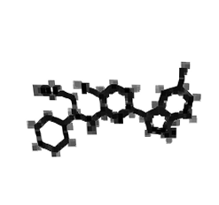 O=C(O)CN(Nc1nc(-c2c[nH]c3ncc(F)cc23)ncc1F)C1CCCCC1